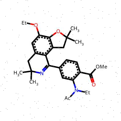 CCOc1cc2c(c3c1OC(C)(C)C3)C(c1ccc(C(=O)OC)c(N(CC)C(C)=O)c1)=NC(C)(C)C2